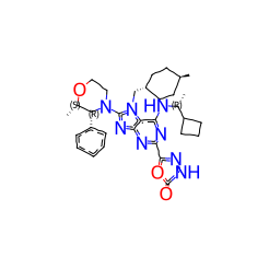 C[C@@H]1OCCN(c2nc3nc(-c4n[nH]c(=O)o4)nc(N[C@H](C)C4CCC4)c3n2C[C@H]2CC[C@H](C)CC2)[C@@H]1c1ccccc1